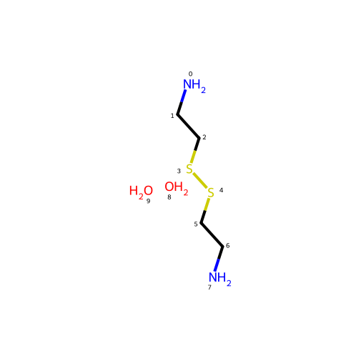 NCCSSCCN.O.O